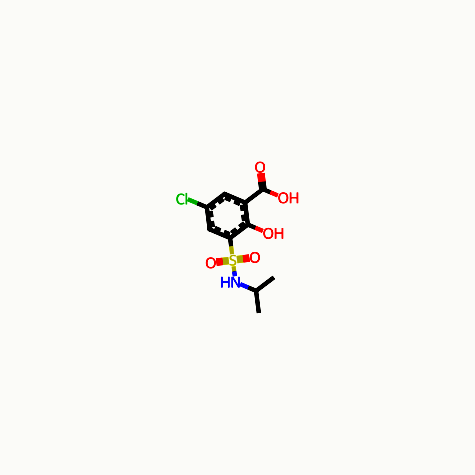 CC(C)NS(=O)(=O)c1cc(Cl)cc(C(=O)O)c1O